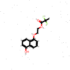 CC(F)(F)C(=O)OCCOc1cccc2c(O)cccc12